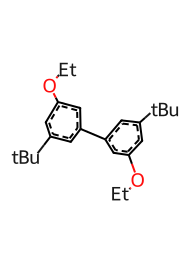 CCOc1cc(-c2cc(OCC)cc(C(C)(C)C)c2)cc(C(C)(C)C)c1